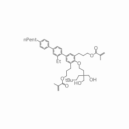 C=C(C)C(=O)OCCCc1cc(-c2ccc(-c3ccc(CCCCC)cc3)cc2CC)cc(CCCOC(=O)C(=C)C)c1OCCC(CO)(CO)CCC(C)(C)C